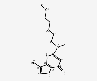 COCCOCCN(C)c1cc(=O)c2scc(Br)c2o1